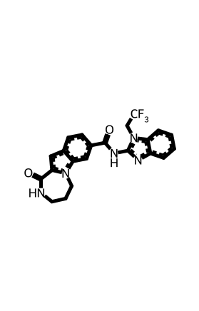 O=C(Nc1nc2ccccc2n1CC(F)(F)F)c1ccc2cc3n(c2c1)CCCNC3=O